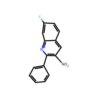 O=[N+]([O-])c1cc2ccc(F)cc2nc1-c1ccccc1